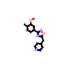 COc1cc(-c2noc(Cc3ccncc3)n2)ccc1C